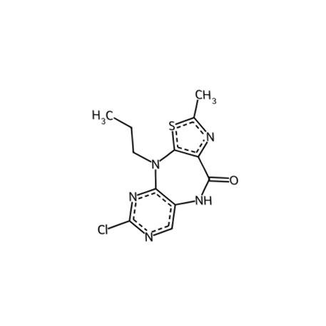 CCCN1c2nc(Cl)ncc2NC(=O)c2nc(C)sc21